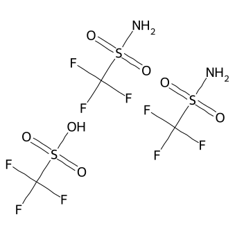 NS(=O)(=O)C(F)(F)F.NS(=O)(=O)C(F)(F)F.O=S(=O)(O)C(F)(F)F